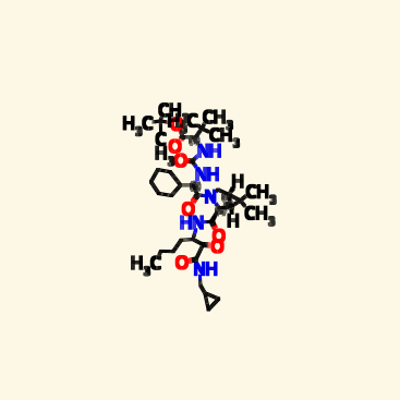 CCCCC(NC(=O)[C@@H]1[C@@H]2[C@H](CN1C(=O)[C@@H](NC(=O)N[C@H](C(=O)OC(C)(C)C)C(C)(C)C)C1CCCCC1)C2(C)C)C(=O)C(=O)NCC1CC1